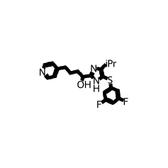 CC(C)c1nc(C(O)CCCc2ccncc2)[nH]c1Sc1cc(F)cc(F)c1